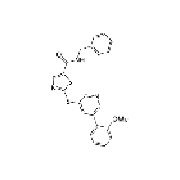 COc1ccccc1-c1cncc(Sc2ncc(C(=O)NCc3ccccc3)s2)c1